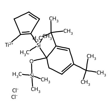 CC(C)(C)C1=CCC(O[Si](C)(C)C)([Si](C)(C)C2=[C]([Ti+2])CC=C2)C(C(C)(C)C)=C1.[Cl-].[Cl-]